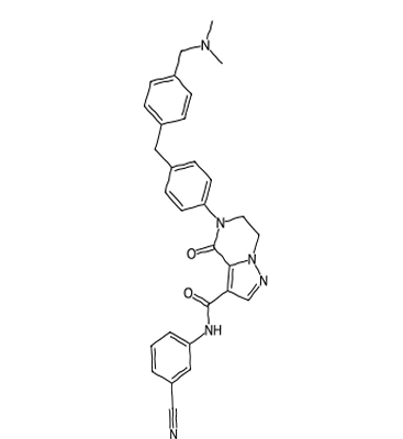 CN(C)Cc1ccc(Cc2ccc(N3CCn4ncc(C(=O)Nc5cccc(C#N)c5)c4C3=O)cc2)cc1